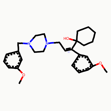 COc1cccc(CN2CCN(C/C=C(/c3cccc(OC)c3)C3(O)CCCCC3)CC2)c1